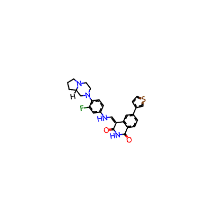 O=C1NC(=O)c2ccc(-c3ccsc3)cc2/C1=C/Nc1ccc(N2CCN3CCC[C@H]3C2)c(F)c1